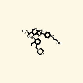 CCc1c(CN2CCOCC2)cccc1Nc1c(C(N)=O)cnc2[nH]c(-c3ccc(OCCO)cc3)nc12